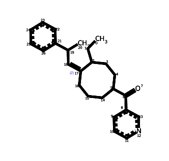 CCC1CCC(C(=O)c2cccnc2)CCC/C1=C/C(C)c1ccccc1